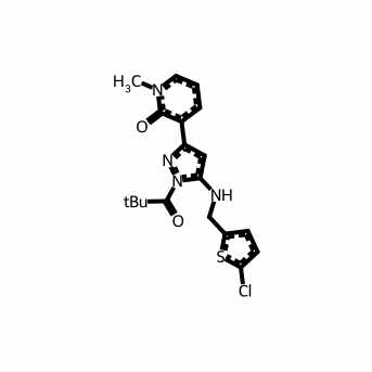 Cn1cccc(-c2cc(NCc3ccc(Cl)s3)n(C(=O)C(C)(C)C)n2)c1=O